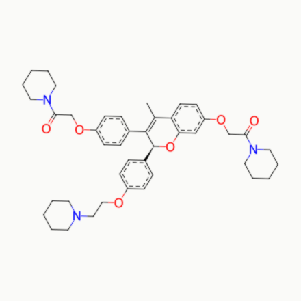 CC1=C(c2ccc(OCC(=O)N3CCCCC3)cc2)[C@H](c2ccc(OCCN3CCCCC3)cc2)Oc2cc(OCC(=O)N3CCCCC3)ccc21